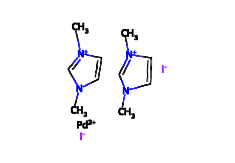 Cn1cc[n+](C)c1.Cn1cc[n+](C)c1.[I-].[I-].[Pd+2]